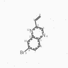 C=Cc1cnc2ccc(Br)cc2n1